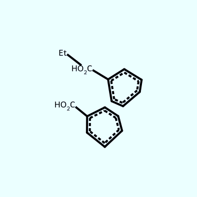 CCC.O=C(O)c1ccccc1.O=C(O)c1ccccc1